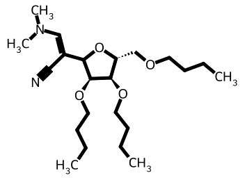 CCCCOC[C@H]1OC(/C(C#N)=C/N(C)C)[C@H](OCCCC)[C@@H]1OCCCC